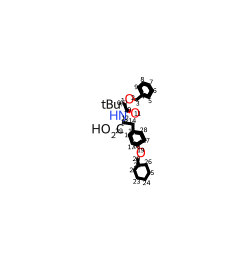 CC(C)(C)[C@H](OCc1ccccc1)C(=O)NC(Cc1ccc(OCC2CCCCC2)cc1)C(=O)O